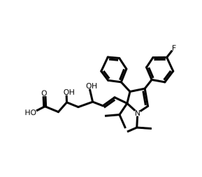 CC(C)N1C=C(c2ccc(F)cc2)C(c2ccccc2)C1(/C=C/C(O)CC(O)CC(=O)O)C(C)C